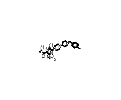 CNC(=O)c1nc(Cl)c(N2CCN(C3CCN(Cc4ccc(C)cc4)CC3)[C@@H](C)C2)nc1N